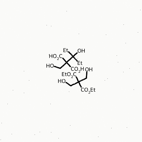 CCC(O)(CC)C(CO)(C(=O)O)C(=O)O.CCOC(=O)C(CO)(CO)C(=O)OCC